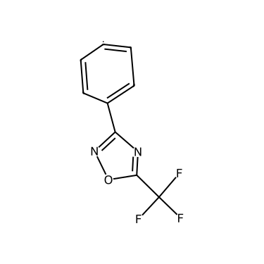 FC(F)(F)c1nc(-c2cc[c]cc2)no1